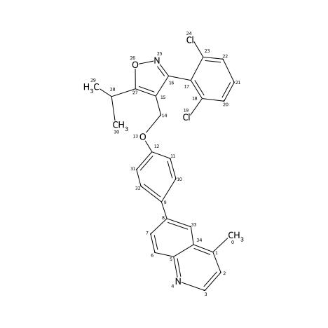 Cc1ccnc2ccc(-c3ccc(OCc4c(-c5c(Cl)cccc5Cl)noc4C(C)C)cc3)cc12